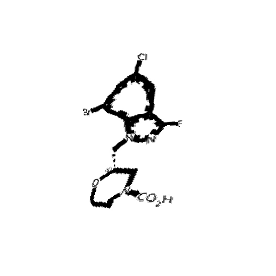 O=C(O)N1CCO[C@H](Cn2nc(F)c3cc(Cl)cc(Br)c32)C1